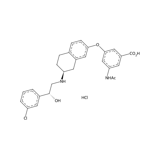 CC(=O)Nc1cc(Oc2ccc3c(c2)C[C@@H](NC[C@H](O)c2cccc(Cl)c2)CC3)cc(C(=O)O)c1.Cl